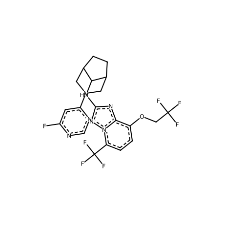 Fc1cc(N2CC3CCC(C2)C3Nc2nc3c(OCC(F)(F)F)ccc(C(F)(F)F)n3n2)ncn1